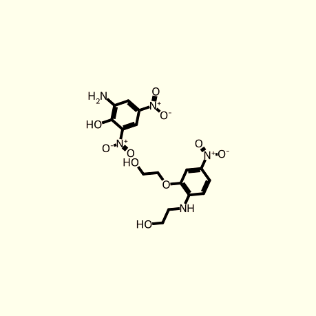 Nc1cc([N+](=O)[O-])cc([N+](=O)[O-])c1O.O=[N+]([O-])c1ccc(NCCO)c(OCCO)c1